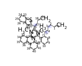 C=C/C=C\C=C(/C)c1ccccc1-c1nc(/C(=C/C=C)c2sc3ccccc3c2C)nc(-c2ccccc2-c2ccccc2)n1